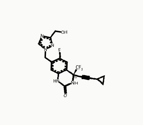 O=C1Nc2cc(Cn3cnc(CO)n3)c(F)cc2[C@@](C#CC2CC2)(C(F)(F)F)N1